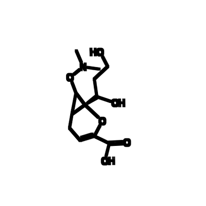 CN(C)OC1C2CC=C(C(=O)O)O[C@]21C(O)CCO